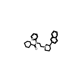 O=C(C1CCCCC1)N(CCN1CCCC(c2ccc3ccccc3c2)C1)c1ccccn1